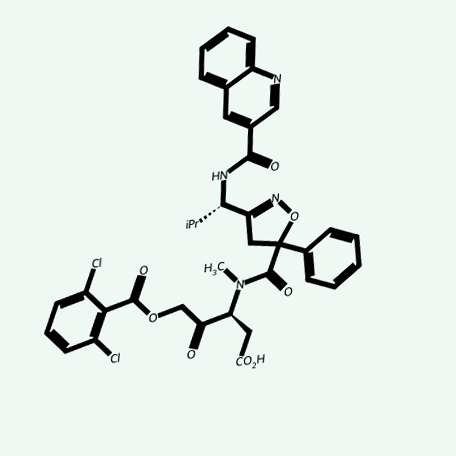 CC(C)[C@H](NC(=O)c1cnc2ccccc2c1)C1=NOC(C(=O)N(C)[C@@H](CC(=O)O)C(=O)COC(=O)c2c(Cl)cccc2Cl)(c2ccccc2)C1